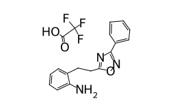 Nc1ccccc1CCc1nc(-c2ccccc2)no1.O=C(O)C(F)(F)F